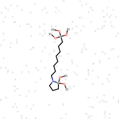 CCO[Si](CCCCCCCCN1CCC[Si]1(OCC)OCC)(OCC)OCC